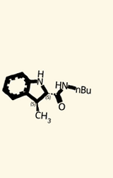 CCCCNC(=O)[C@H]1Nc2ccccc2[C@@H]1C